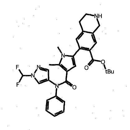 Cc1c(C(=O)N(c2ccccc2)c2cnn(C(F)F)c2)cc(-c2cc3c(cc2C(=O)OC(C)(C)C)CNCC3)n1C